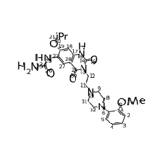 COc1ccccc1N1CCN(CCn2c(=O)[nH]c3cc(OC(C)C)c(NC(N)=O)cc3c2=O)CC1